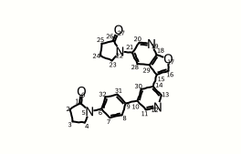 O=C1CCCN1c1ccc(-c2cncc(-c3coc4ncc(N5CCCC5=O)cc34)c2)cc1